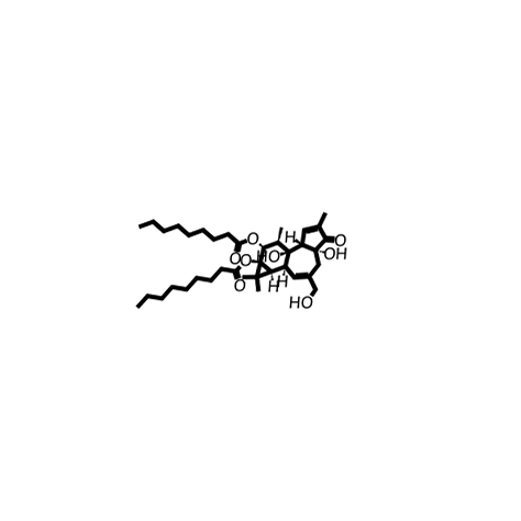 CCCCCCCCC(=O)O[C@@H]1[C@@H](C)[C@@]2(O)[C@@H](C=C(CO)C[C@]3(O)C(=O)C(C)=C[C@@H]23)[C@H]2C(C)(C)[C@]12OC(=O)CCCCCCCC